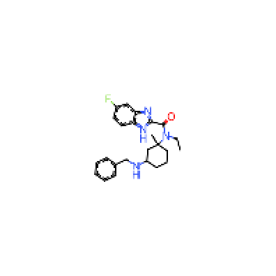 CCN(C(=O)c1nc2cc(F)ccc2[nH]1)C1(C)CCCC(NCc2ccccc2)C1